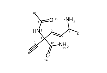 C#CC(C=CC(C)N)(NC(C)=O)C(N)=O